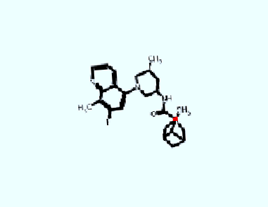 Cc1c(F)cc(N2CC(NC(=O)CC3C4CC3CN(C)C4)C[C@H](C)C2)c2cccnc12